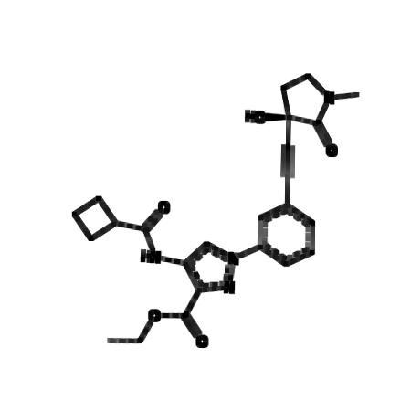 CCOC(=O)c1nn(-c2cccc(C#C[C@]3(O)CCN(C)C3=O)c2)cc1NC(=O)C1CCC1